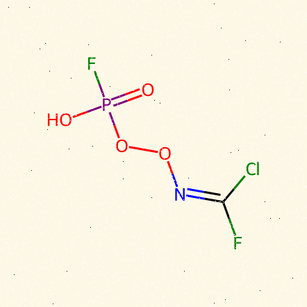 O=P(O)(F)OON=C(F)Cl